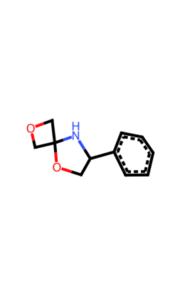 c1ccc(C2COC3(COC3)N2)cc1